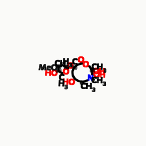 CO[C@]1(C)C[C@H](O[C@H]2CCC(O)C[C@@H](C)CN(C)C(O)[C@](C)(O)COC(=O)C2C)OC(C)[C@@H]1O